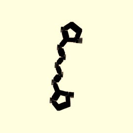 c1c[nH]c(N=NSN=Nc2ncc[nH]2)n1